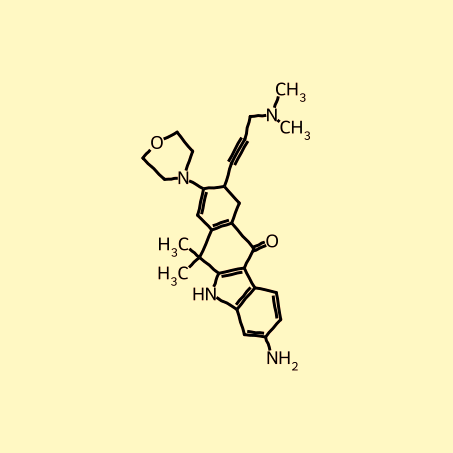 CN(C)CC#CC1CC2=C(C=C1N1CCOCC1)C(C)(C)c1[nH]c3cc(N)ccc3c1C2=O